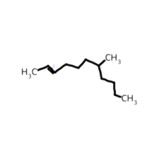 C/C=C/CCCC(C)CCCC